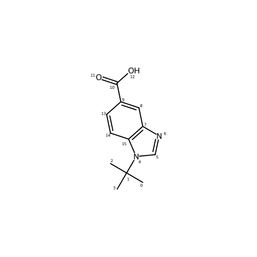 CC(C)(C)n1cnc2cc(C(=O)O)ccc21